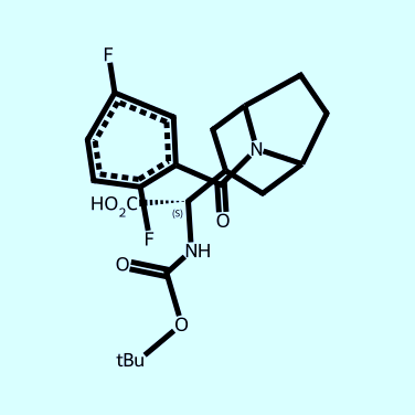 CC(C)(C)OC(=O)N[C@H](C(=O)O)C1CC2CCC(C1)N2C(=O)c1cc(F)ccc1F